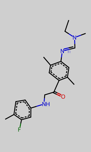 CCN(C)/C=N/c1cc(C)c(C(=O)CNc2ccc(C)c(F)c2)cc1C